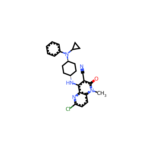 Cn1c(=O)c(C#N)c(N[C@H]2CC[C@H](N(c3ccccc3)C3CC3)CC2)c2nc(Cl)ccc21